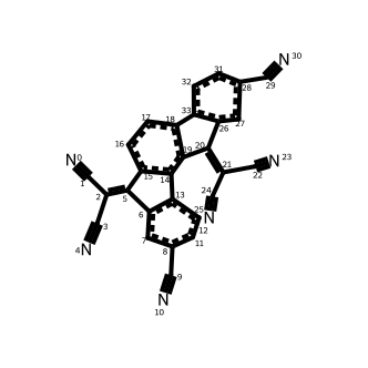 N#CC(C#N)=C1c2cc(C#N)ccc2-c2c1ccc1c2C(=C(C#N)C#N)c2cc(C#N)ccc2-1